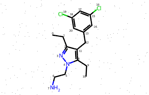 CCc1nn(CCN)c(CC)c1Cc1cc(Cl)cc(Cl)c1